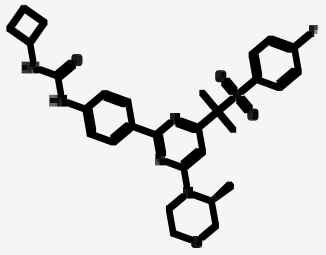 C[C@H]1COCCN1c1cc(C(C)(C)S(=O)(=O)c2ccc(F)cc2)nc(-c2ccc(NC(=O)NC3CCC3)cc2)n1